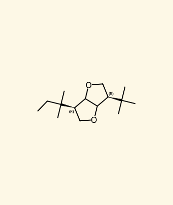 CCC(C)(C)[C@@H]1COC2C1OC[C@H]2C(C)(C)C